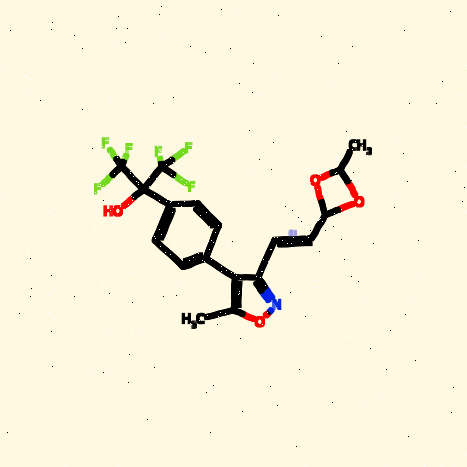 Cc1onc(/C=C/C2OC(C)O2)c1-c1ccc(C(O)(C(F)(F)F)C(F)(F)F)cc1